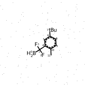 BC(F)(F)c1cc(C(C)(C)C)ccc1C